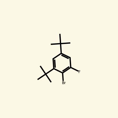 CC(C)(C)c1cc(F)c(Br)c(C(C)(C)C)c1